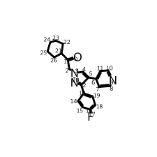 O=C(Cn1cc(-c2ccncc2)c(-c2ccc(F)cc2)n1)C1CCCCC1